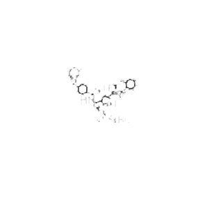 CC(C)(C)COC(=O)n1nc(NC(=O)c2ccc(CN3CCCCC3)cc2)c2cc(C(=O)NC(C)(C)c3ccccc3Cl)sc21